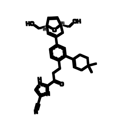 CC1(C)CC=C(c2cc(C3=C[C@@]4(CO)C=C[C@@](CO)(C3)O4)ccc2CCC(=O)c2nc(C#N)c[nH]2)CC1